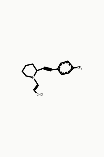 O=CC=CN1CCCCC1C#Cc1ccc(C(F)(F)F)cc1